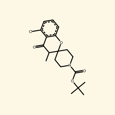 CC1C(=O)c2c(Cl)cccc2OC12CCN(C(=O)OC(C)(C)C)CC2